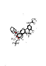 CC(=O)Nc1cc(Cl)c(C(F)(F)F)c(-c2ncc3c(N4CC5CCC(C4)N5C(=O)OC(C)(C)C)nc(OCC(F)(F)F)nc3c2F)c1